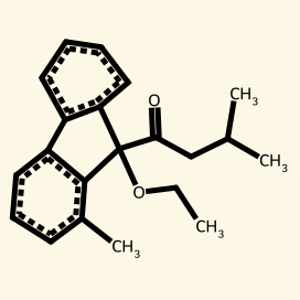 CCOC1(C(=O)CC(C)C)c2ccccc2-c2cccc(C)c21